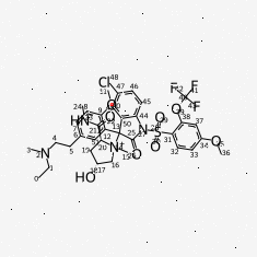 CCN(C)CCc1ccc(OC)c(C2([N+]3(C)C[C@H](O)C[C@H]3C(=O)NC)C(=O)N(S(=O)(=O)c3ccc(OC)cc3OC(F)(F)F)c3ccc(Cl)cc32)c1